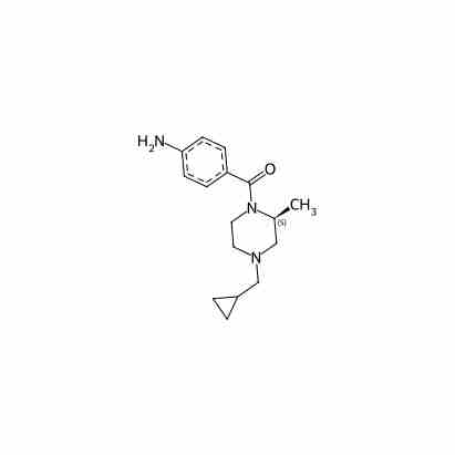 C[C@H]1CN(CC2CC2)CCN1C(=O)c1ccc(N)cc1